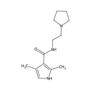 Cc1[c][nH]c(C)c1C(=O)NCCN1CCCC1